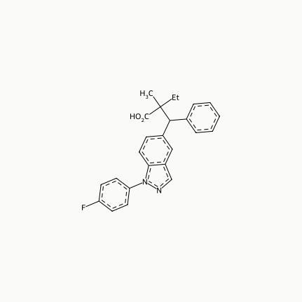 CCC(C)(C(=O)O)C(c1ccccc1)c1ccc2c(cnn2-c2ccc(F)cc2)c1